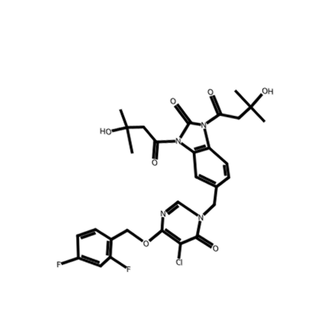 CC(C)(O)CC(=O)n1c(=O)n(C(=O)CC(C)(C)O)c2cc(Cn3cnc(OCc4ccc(F)cc4F)c(Cl)c3=O)ccc21